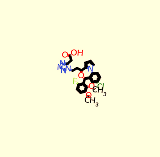 COc1ccc(F)c(C2OC(CCn3nnnc3CC(=O)O)c3cccn3-c3ccc(Cl)cc32)c1OC